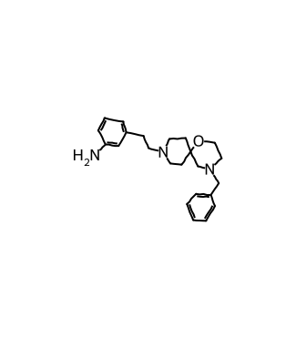 Nc1cccc(CCN2CCC3(CC2)CN(Cc2ccccc2)CCO3)c1